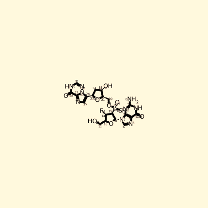 Nc1nc2c(ncn2[C@@H]2OC(CO)[C@@H](F)[C@H]2P(=O)(S)OC[C@H]2O[C@@H](c3cnc4c(=O)[nH]cnn34)C[C@@H]2O)c(=O)[nH]1